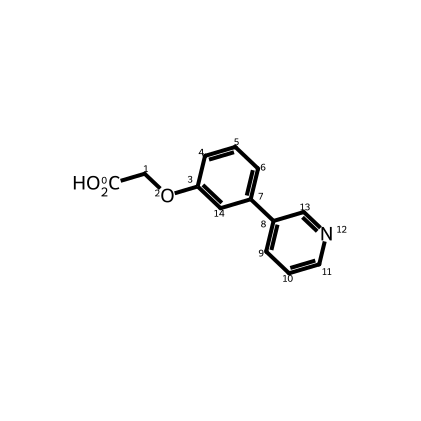 O=C(O)COc1cccc(-c2cccnc2)c1